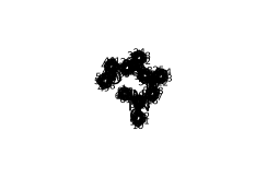 c1ccc(-c2nc(-c3ccccc3)nc(-c3cccc(-n4c5ccccc5c5cc(-n6c7ccccc7c7cc(-c8cccc9c8oc8ccccc89)ccc76)ccc54)c3)n2)cc1